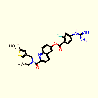 N=C(N)Nc1ccc(C(=O)Oc2ccc3nc(C(=O)N(CC(=O)O)Cc4csc(C(=O)O)c4)ccc3c2)c(F)c1